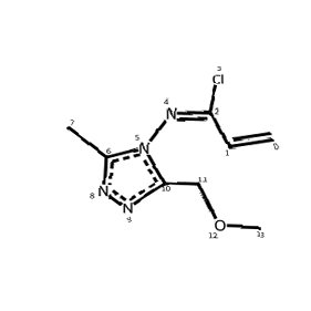 C=C/C(Cl)=N\n1c(C)nnc1COC